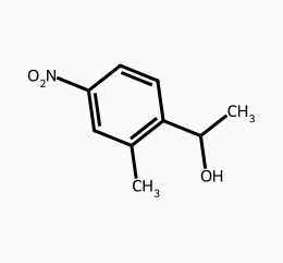 Cc1cc([N+](=O)[O-])ccc1C(C)O